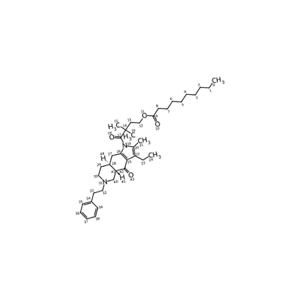 CCCCCCCCCC(=O)OCCC(C)(C)C(=O)n1c(C)c(CC)c2c1C[C@@H]1CCN(CCc3ccccc3)C[C@H]1C2=O